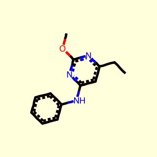 CCc1cc(Nc2ccccc2)nc(OC)n1